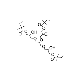 CCC(C)(C)C(=O)OCC(O)COCC(COCC(O)COC(=O)C(C)(C)CC)OCC(O)COC(=O)C(C)(C)CC